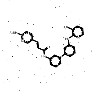 CC(=O)Nc1ccc(C=CC(=O)Nc2cccc(-c3cccc(Nc4ncccc4N)c3)c2)cn1